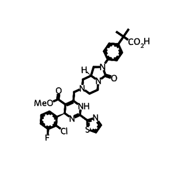 COC(=O)C1=C(CN2CCN3C(=O)N(c4ccc(C(C)(C)C(=O)O)cc4)C[C@@H]3C2)NC(c2nccs2)=N[C@H]1c1cccc(F)c1Cl